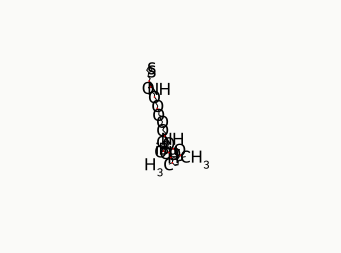 CCC(C)C(=O)OC1CC(C)C=C2C=CC(C)[C@H](CCC3CC(OC(=O)NCCOCCOCCOCCOCCOCCNC(=O)CCCCC4CCSS4)CC(=O)O3)[C@@H]21